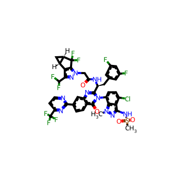 Cn1nc(NS(C)(=O)=O)c2c(Cl)ccc(-n3c([C@H](Cc4cc(F)cc(F)c4)NC(=O)Cn4nc(C(F)F)c5c4C(F)(F)[C@@H]4C[C@H]54)nc4cc(-c5nccc(C(F)(F)F)n5)ccc4c3=O)c21